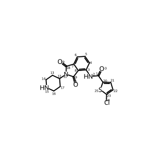 O=C(Nc1cccc2c1C(=O)N(C1CCNCC1)C2=O)c1ccc(Cl)s1